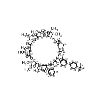 CC[C@H](C)[C@@H]1NC(=O)[C@@H]2CCCN2C(=O)[C@H](Cc2cccc(-c3ccc(C(F)(F)F)cc3)c2)N(C)C(=O)[C@H](Cc2ccccc2)NC(=O)[C@H](C(C)C)N(C)C(=O)[C@@H]([C@@H](C)CC)OC(=O)[C@H](C(C)(C)O)N(C)C(=O)[C@H](CC(C)C)NC(=O)[C@H](C(C)C)N(C)C1=O